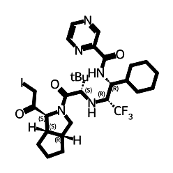 CC(C)(C)[C@H](N[C@H]([C@H](NC(=O)c1cnccn1)C1CCCCC1)C(F)(F)F)C(=O)N1C[C@@H]2CCC[C@@H]2[C@H]1C(=O)CI